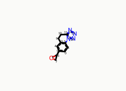 c1cc2c(cc1C1CO1)CCc1nnnn1-2